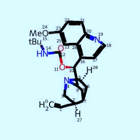 C=C[C@H]1CN2CCC1C[C@@H]2[C@@H](OC(=O)NC(C)(C)C)c1ccnc2ccc(OC)cc12